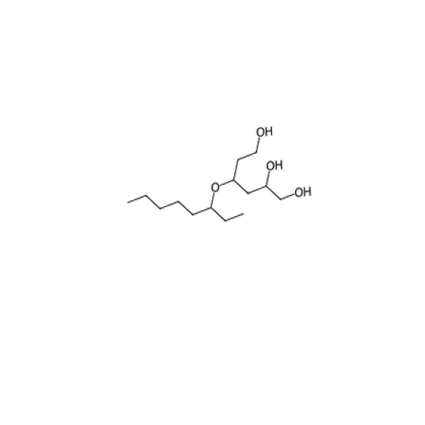 CCCCCC(CC)OC(CCO)CC(O)CO